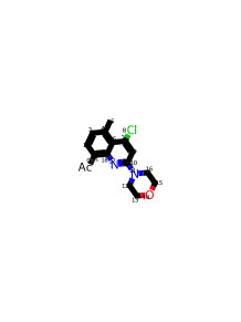 CC(=O)c1ccc(C)c2c(Cl)cc(N3CCOCC3)nc12